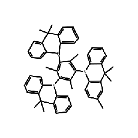 Cc1ccc2c(c1)C(C)(C)c1ccccc1N2c1c(C)c(N2c3ccccc3C(C)(C)c3ccccc32)c(C)c(N2c3ccccc3C(C)(C)c3ccccc32)c1C